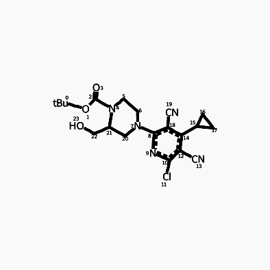 CC(C)(C)OC(=O)N1CCN(c2nc(Cl)c(C#N)c(C3CC3)c2C#N)CC1CO